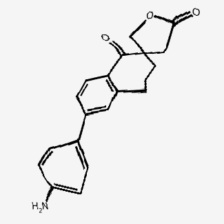 Nc1ccc(-c2ccc3c(c2)CCC2(COC(=O)C2)C3=O)cc1